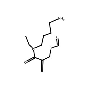 C=C(COC=O)C(=O)N(CC)CCCCN